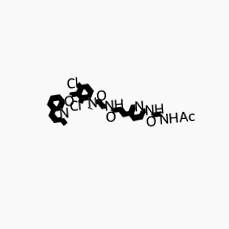 CC(=O)NCC(=O)Nc1ccc(C=CC(=O)NCC(=O)N(C)c2ccc(Cl)c(COc3cccc4ccc(C)nc34)c2Cl)cn1